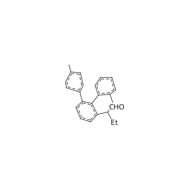 CCC(C=O)c1cccc(-c2ccc(C)cc2)c1-c1ccccc1C